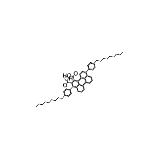 CCCCCCCCCc1ccc(-c2ccc3c4c(C(=O)O)c(C(=O)O)c(-c5ccc(CCCCCCCCC)cc5)c5cccc(c6cccc2c63)c54)cc1